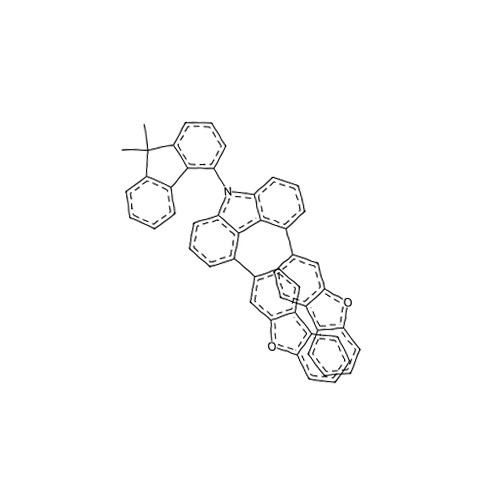 CC1(C)c2ccccc2-c2c(-n3c4cccc(-c5ccc6c(c5)oc5ccccc56)c4c4c(-c5ccc6c(c5)oc5ccccc56)cccc43)cccc21